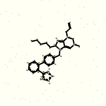 C=CCN1CN(C)C=C2C1=NC(CCCCC)N2Cc1ccc(-c2ccccc2-c2nnn[nH]2)cc1